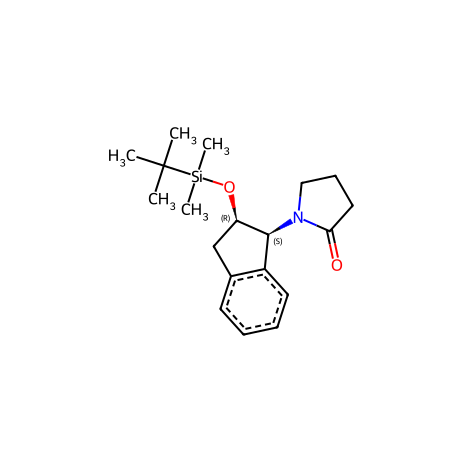 CC(C)(C)[Si](C)(C)O[C@@H]1Cc2ccccc2[C@@H]1N1CCCC1=O